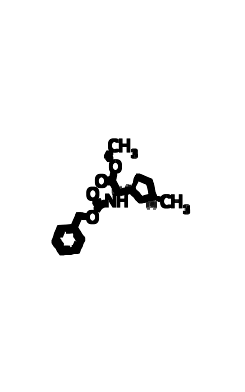 CCOC(=O)[C@@H](NC(=O)OCc1ccccc1)[C@H]1CC[C@@H](C)C1